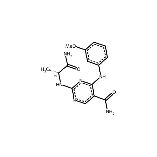 COc1cccc(Nc2nc(N[C@H](C)C(N)=O)ncc2C(N)=O)c1